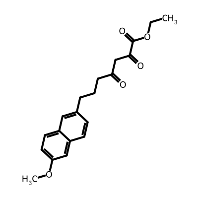 CCOC(=O)C(=O)CC(=O)CCCc1ccc2cc(OC)ccc2c1